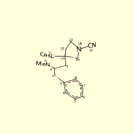 CNC(Cc1ccccc1)CC1(C=O)CCN(C#N)C1